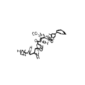 Cc1cc(-c2ccccc2)cc(C)c1S(=O)(=O)NC(CNC(=O)C1=NO[C@]2(CNC(CNC3=NCCN3)C2)C1)C(=O)O